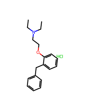 CCN(CC)CCOc1ccccc1Cc1ccccc1.Cl